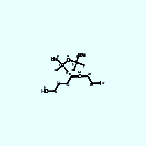 CC(C)(C)[Si](C)(C)O[Si](C)(C)C(C)(C)C.OCCCC=C=CCI